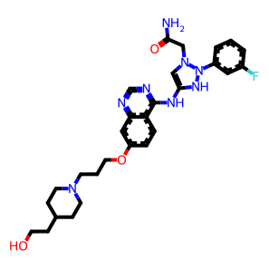 NC(=O)CN1C=C(Nc2ncnc3cc(OCCCN4CCC(CCO)CC4)ccc23)NN1c1cccc(F)c1